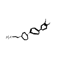 CCC[C@H]1CC[C@H](c2ccc(-c3ccc(F)c(F)c3)cc2)CC1